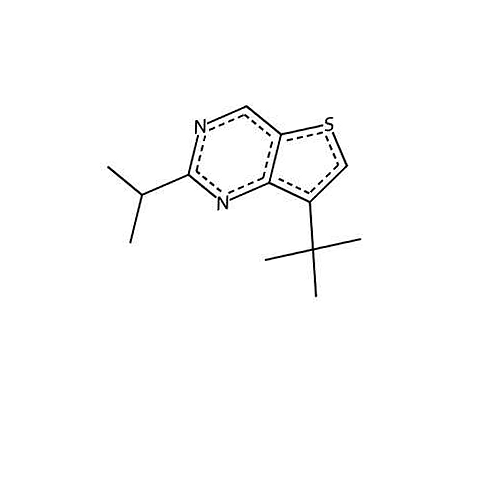 CC(C)c1ncc2scc(C(C)(C)C)c2n1